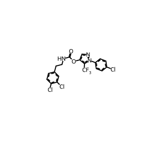 O=C(NCCc1ccc(Cl)c(Cl)c1)Oc1cnn(-c2ccc(Cl)cc2)c1C(F)(F)F